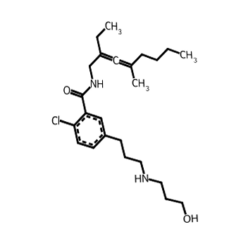 CCCCC(C)=C=C(CC)CNC(=O)c1cc(CCCNCCCO)ccc1Cl